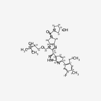 CCc1cc(C)c(F)cc1-c1ccc2c(-c3nc4c(n3COCC[Si](C)(C)C)CN(C(=O)N3CC[C@H](O)C3)C4)n[nH]c2n1